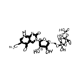 Cc1c[nH]c2nc(=O)n([C@@H]3O[C@H](COP(=O)(O)OP(=O)(O)OP(=O)(O)O)C(O)[C@@H]3O)cc2c1=O